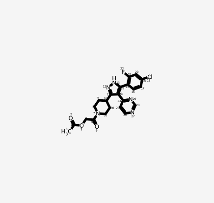 CC(=O)OCC(=O)N1CCC(c2n[nH]c(-c3ccc(Cl)cc3F)c2-c2ccncn2)CC1